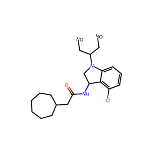 O=NCC(CN=O)N1CC(NC(=O)CC2CCCCCC2)c2c(Cl)cccc21